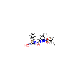 Cc1cc(NS(=O)(=O)c2sccc2C)c2[nH]c(C(=O)NCC(/C=N/O)SCc3ccccc3)cc2c1